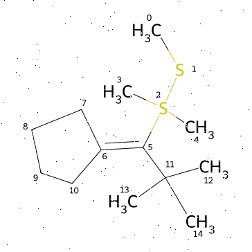 CSS(C)(C)C(=C1CCCC1)C(C)(C)C